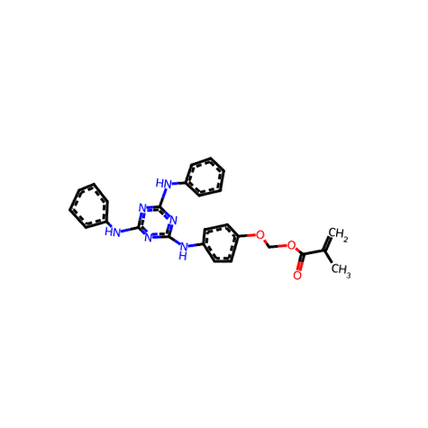 C=C(C)C(=O)OCOc1ccc(Nc2nc(Nc3ccccc3)nc(Nc3ccccc3)n2)cc1